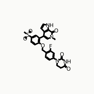 Cn1cc(-c2cc(S(C)(=O)=O)ccc2OCc2ccc(N3CCC(=O)NC3=O)cc2F)c2cc[nH]c2c1=O